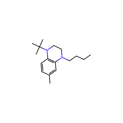 CCCCN1CCN(C(C)(C)C)c2ccc(C)cc21